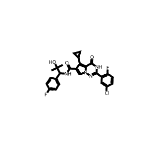 CC(C)(O)C(NC(=O)c1cn2nc(-c3cc(Cl)ccc3F)[nH]c(=O)c2c1C1CC1)c1ccc(F)cc1